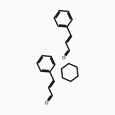 C1CCCCC1.O=C/C=C/c1ccccc1.O=C/C=C/c1ccccc1